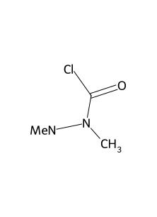 CNN(C)C(=O)Cl